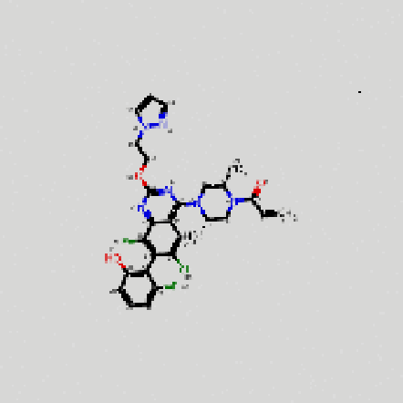 C=CC(=O)N1C[C@H](C)N(c2nc(OCCn3cccn3)nc3c(F)c(-c4c(O)cccc4F)c(Cl)cc23)C[C@H]1C